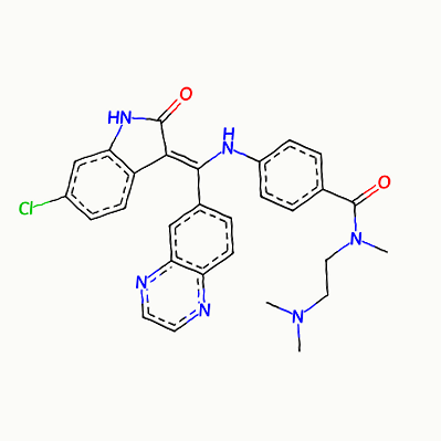 CN(C)CCN(C)C(=O)c1ccc(N/C(=C2\C(=O)Nc3cc(Cl)ccc32)c2ccc3nccnc3c2)cc1